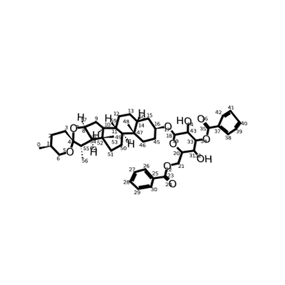 C[C@H]1CC[C@@]2(OC1)O[C@H]1C[C@H]3[C@@H]4CC[C@@H]5C[C@@H](OC6OC(COC(=O)c7ccccc7)C(O)C(OC(=O)c7ccccc7)C6O)CC[C@]5(C)[C@H]4CC[C@]3(C)[C@H]1[C@@H]2C